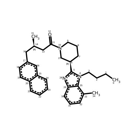 CCCCn1c([C@@H]2CCCN(C(=O)C[C@H](C)Cc3ccc4ccccc4c3)C2)nc2cccc(C)c21